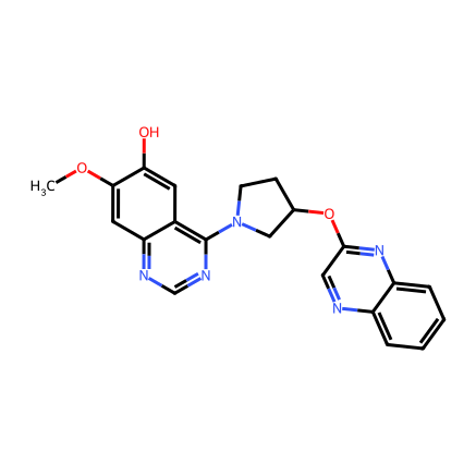 COc1cc2ncnc(N3CCC(Oc4cnc5ccccc5n4)C3)c2cc1O